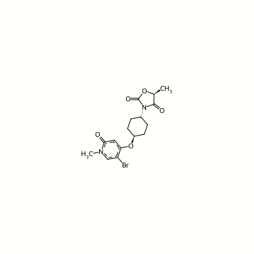 C[C@@H]1OC(=O)N([C@H]2CC[C@H](Oc3cc(=O)n(C)cc3Br)CC2)C1=O